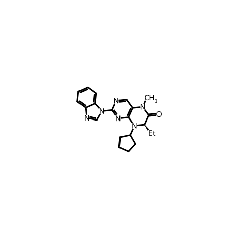 CC[C@@H]1C(=O)N(C)c2cnc(-n3cnc4ccccc43)nc2N1C1CCCC1